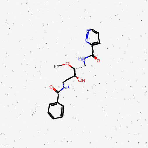 CCO[C@H](CNC(=O)c1cccnn1)[C@@H](O)CNC(=O)c1ccccc1